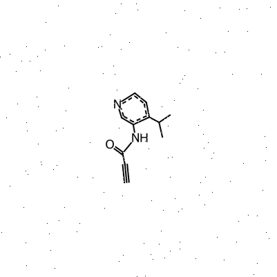 C#CC(=O)Nc1cnccc1C(C)C